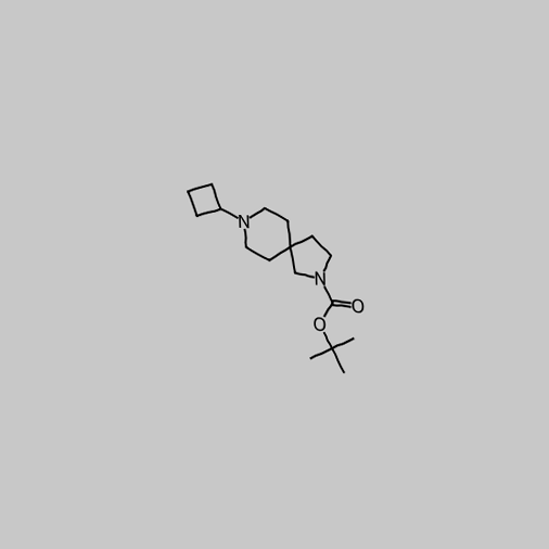 CC(C)(C)OC(=O)N1CCC2(CCN(C3CCC3)CC2)C1